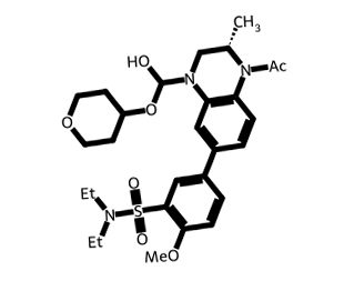 CCN(CC)S(=O)(=O)c1cc(-c2ccc3c(c2)N(C(O)OC2CCOCC2)C[C@H](C)N3C(C)=O)ccc1OC